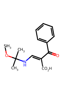 CC(C)(NC=C(C(=O)O)C(=O)c1ccccc1)O[SiH3]